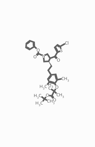 Cc1cc(CC[C@H]2CN(C(=O)Oc3ccccc3)CC2C(=O)c2ccc(Cl)s2)cc(C)c1OC(C)(C)C(=O)OC(C)(C)C